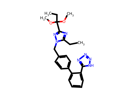 CCc1nc(C(CC)(OC)OC)nn1Cc1ccc(-c2ccccc2-c2nnn[nH]2)cc1